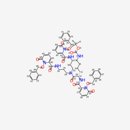 CC(C)(C)OC(=O)NCCCC[C@H](NC(=O)c1cccc(=O)n1OCc1ccccc1)C(=O)N(CCCNC(=O)c1cccc(=O)n1OCc1ccccc1)CCCNC(=O)c1cccc(=O)n1OCc1ccccc1